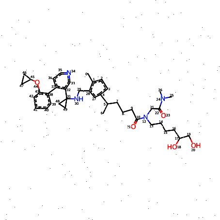 Cc1ccc(C(C)CCCC(=O)N(CCCCC(O)CO)CC(=O)N(C)C)cc1CNC1(c2cnccc2-c2ccccc2OC2CC2)CC1